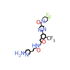 Nc1ccc(/C=C/C(=O)NCc2cc3cc(-c4ncc(C(=O)N5CCC(F)(F)CC5)cn4)cc(C(F)(F)F)c3o2)cn1